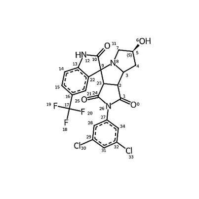 O=C1C2C3C[C@H](O)CN3C3(C(=O)Nc4ccc(C(F)(F)F)cc43)C2C(=O)N1c1cc(Cl)cc(Cl)c1